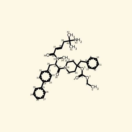 CCOC(=O)OC1(Cc2ccccc2)CCN(C(=O)[C@@H](Cc2ccc(-c3ccccc3)cc2)N(C)C(=O)/C=C/CC(C)(C)N)CC1